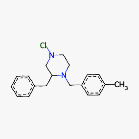 Cc1ccc(CN2CCN(Cl)CC2Cc2ccccc2)cc1